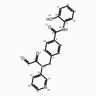 O=CC(=O)N(Cc1ccc(C(=O)Nc2ccccc2O)cc1)c1cccnc1